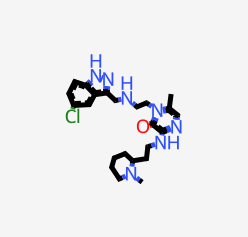 Cc1cnc(NCCC2CCCCN2C)c(=O)n1CCNCc1n[nH]c2ccc(Cl)cc12